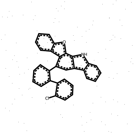 Clc1ccccc1-c1ccccc1-c1cc2c3ccccc3[nH]c2c2oc3ccccc3c12